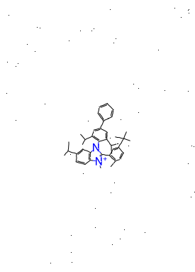 Cc1ccc(C(C)(C)C)cc1-c1n(-c2c(C(C)C)cc(-c3ccccc3)cc2C(C)C)c2cc(C(C)C)ccc2[n+]1C